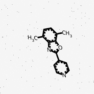 Cc1ccc(C)c2oc(-c3ccncc3)nc12